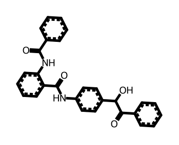 O=C(Nc1ccccc1C(=O)Nc1ccc(C(O)C(=O)c2ccccc2)cc1)c1ccccc1